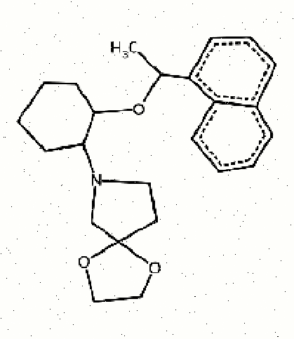 CC(OC1CCCCC1N1CCC2(C1)OCCO2)c1cccc2ccccc12